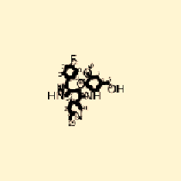 COc1cc(CO)cc(NC(C(=O)c2c[nH]nc2-c2ccc(F)cc2)c2ccc(C)nc2)c1